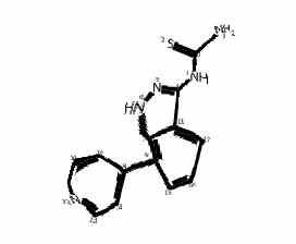 NC(=S)Nc1n[nH]c2c(-c3ccncc3)cccc12